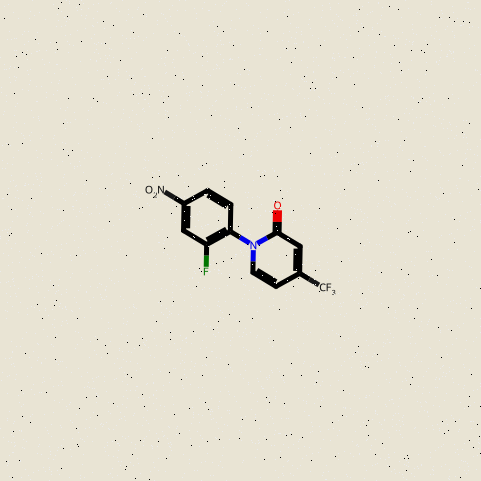 O=c1cc(C(F)(F)F)ccn1-c1ccc([N+](=O)[O-])cc1F